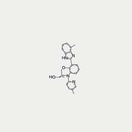 Cc1ccc(N2c3cccc(-c4nc5c(C)cccc5[nH]4)c3OC[C@@H]2CO)nc1